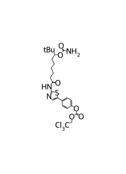 CC(C)(C)C(CCCCCC(=O)Nc1ncc(-c2ccc(OC(=O)OCC(Cl)(Cl)Cl)cc2)s1)OC(N)=O